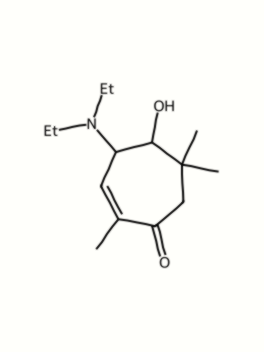 CCN(CC)C1C=C(C)C(=O)CC(C)(C)C1O